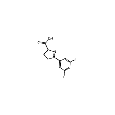 O=C(O)C1CCC(c2cc(F)cc(F)c2)=N1